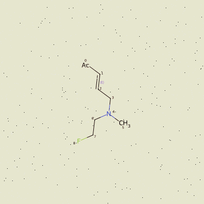 CC(=O)/C=C/CN(C)CCF